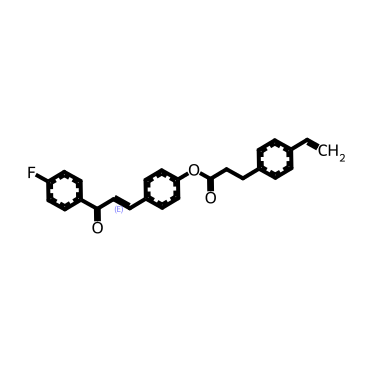 C=Cc1ccc(CCC(=O)Oc2ccc(/C=C/C(=O)c3ccc(F)cc3)cc2)cc1